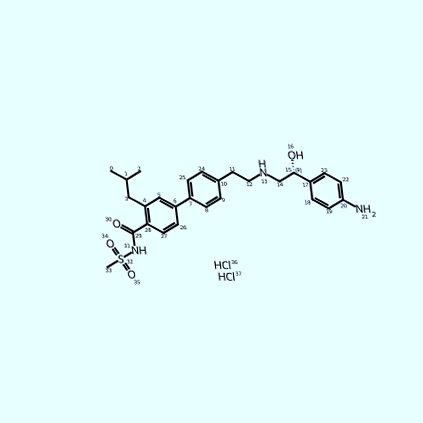 CC(C)Cc1cc(-c2ccc(CCNC[C@H](O)c3ccc(N)cc3)cc2)ccc1C(=O)NS(C)(=O)=O.Cl.Cl